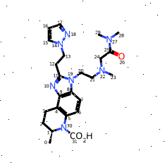 C[C@H]1CCc2c(ccc3c2nc(CCn2cccn2)n3CCN(C)CC(=O)N(C)C)N1C(=O)O